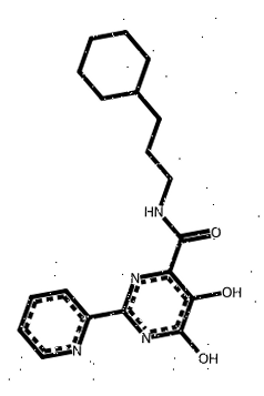 O=C(NCCCC1CCCCC1)c1nc(-c2ccccn2)nc(O)c1O